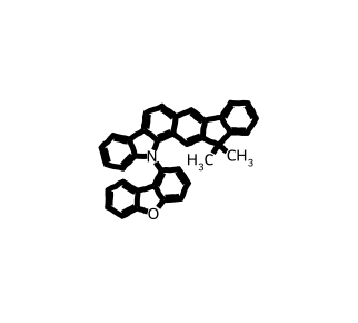 CC1(C)c2ccccc2-c2cc3ccc4c5ccccc5n(-c5cccc6oc7ccccc7c56)c4c3cc21